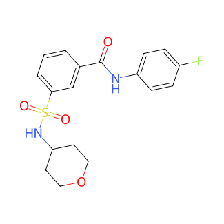 O=C(Nc1ccc(F)cc1)c1cccc(S(=O)(=O)NC2CCOCC2)c1